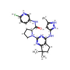 CC(C)c1cc(Nc2nc(N3CCC[C@H]3C(=O)Nc3ccc(F)nc3)nc3c2CCC3(C)C)n[nH]1